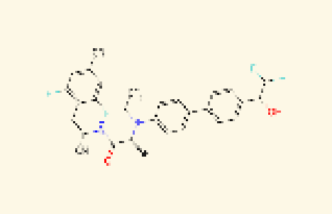 CC(C)[C@@H](C(=O)N[C@H](C#N)Cc1c(F)cc(C#N)cc1F)N(CC(F)(F)F)c1ccc(-c2ccc([C@@H](O)C(F)F)cc2)cc1